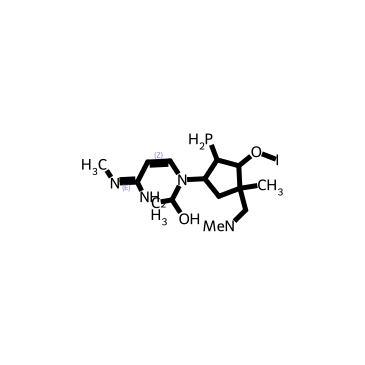 C/N=C(N)\C=C/N(C(C)O)C1CC(C)(CNC)C(OI)C1P